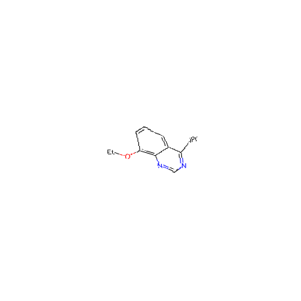 CCOc1cccc2c(C(C)C)ncnc12